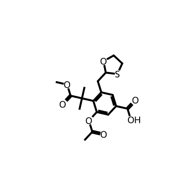 COC(=O)C(C)(C)c1c(CC2OCCS2)cc(C(=O)O)cc1OC(C)=O